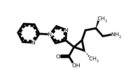 C[C@@H](CN)CC1[C@H](C)C1(C(=O)O)c1cn(-c2ccccn2)cn1